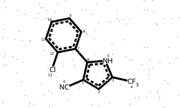 N#Cc1cc(C(F)(F)F)[nH]c1-c1ccccc1Cl